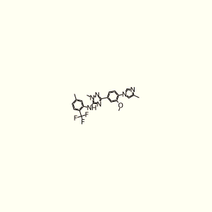 COc1cc(-c2nc(Nc3cc(C)ccc3C(F)(F)F)n(C)n2)ccc1-n1cnc(C)c1